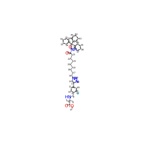 COC(=O)C(C)(C)NCc1ccc(-c2cn(CCCCCCCCC(=O)NOC(c3ccccc3)(c3ccccc3)c3ccccc3)nn2)cc1F